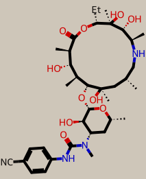 CC[C@H]1OC(=O)[C@H](C)[C@@H](O)[C@H](C)[C@@H](O[C@@H]2O[C@H](C)C[C@H](N(C)C(=O)Nc3ccc(C#N)cc3)[C@H]2O)[C@](C)(O)C[C@@H](C)CN[C@H](C)[C@@H](O)[C@]1(C)O